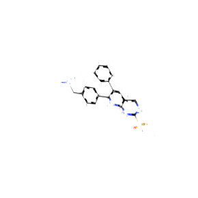 CC(C)(C)N(Cc1ccc(-c2nc3nc(S(C)(=O)=O)ncc3cc2-c2ccccc2)cc1)C(=O)O